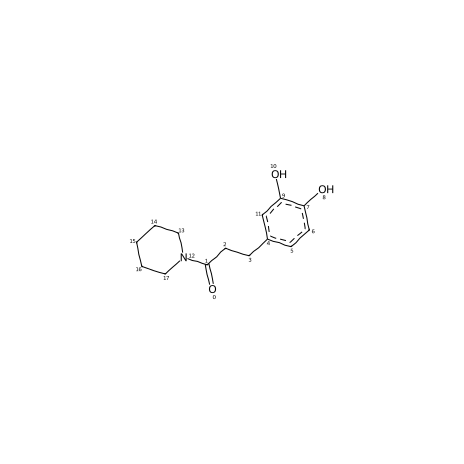 O=C(CCc1ccc(O)c(O)c1)N1CCCCC1